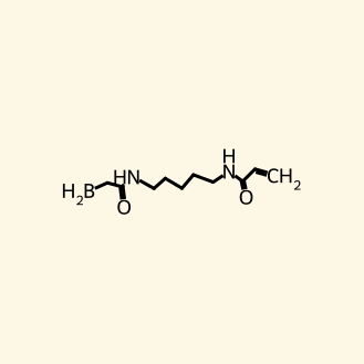 BCC(=O)NCCCCCNC(=O)C=C